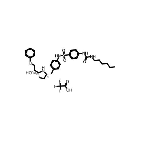 CCCCCCNC(=O)Nc1ccc(S(=O)(=O)Nc2ccc(C[C@@H]3CC[C@H]([C@H](O)COc4ccccc4)N3)cc2)cc1.O=C(O)C(F)(F)F